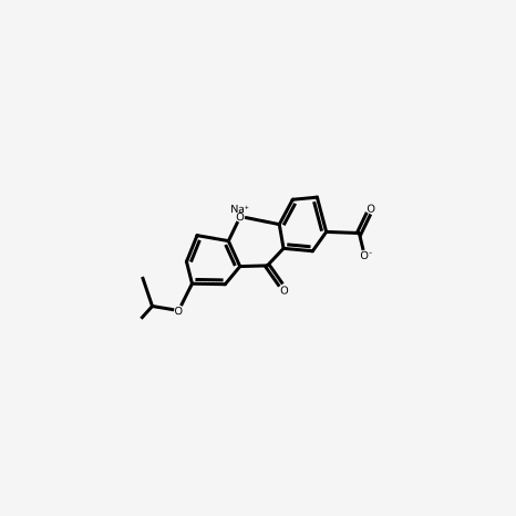 CC(C)Oc1ccc2oc3ccc(C(=O)[O-])cc3c(=O)c2c1.[Na+]